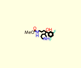 COC(=O)NCCCC(O)(c1cc(F)cc(F)c1)C1CCCNC1